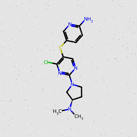 CN(C)[C@@H]1CCN(c2ncc(Sc3ccc(N)nc3)c(Cl)n2)C1